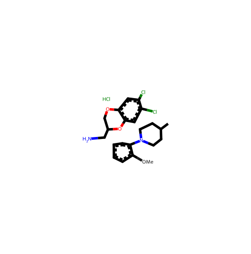 COc1ccccc1N1CCC(C)CC1.Cl.NCC1COc2cc(Cl)c(Cl)cc2O1